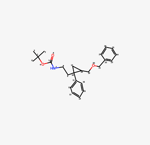 CC(C)(C)OC(=O)NCCC1(c2ccccc2)CC1COCc1ccccc1